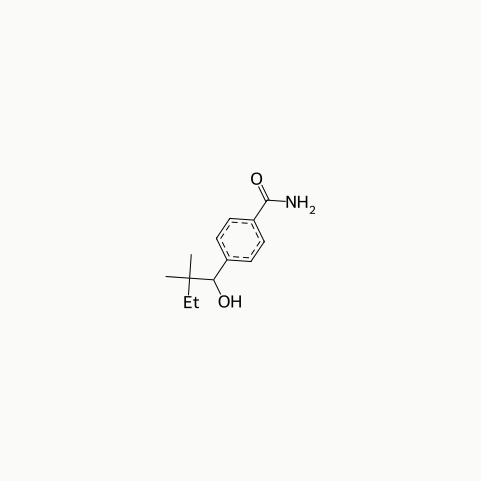 CCC(C)(C)C(O)c1ccc(C(N)=O)cc1